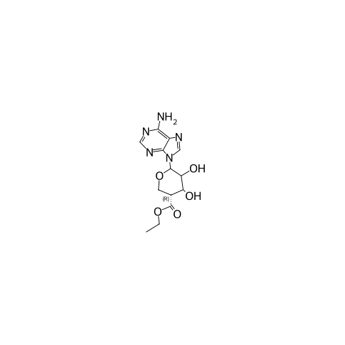 CCOC(=O)[C@@H]1COC(n2cnc3c(N)ncnc32)C(O)C1O